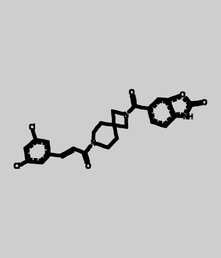 O=C(C=Cc1cc(Cl)cc(Cl)c1)N1CCC2(CC1)CN(C(=O)c1ccc3[nH]c(=O)oc3c1)C2